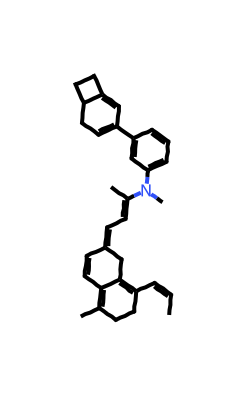 C/C=C\C1=C2C/C(=C\C=C(/C)N(C)c3cccc(C4=CCC5CCC5=C4)c3)C=CC2=C(C)CC1